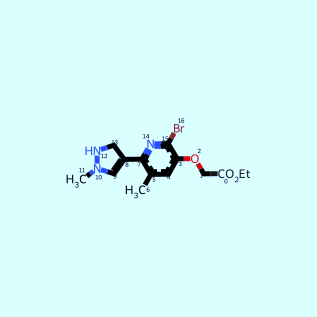 CCOC(=O)COc1cc(C)c(C2=CN(C)NC2)nc1Br